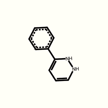 [c]1ccccc1C1=CC=CNN1